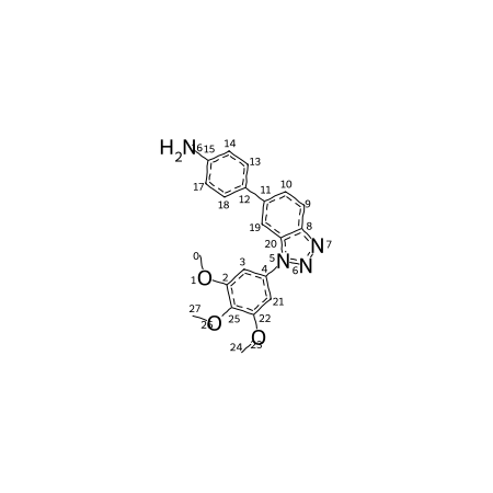 COc1cc(-n2nnc3ccc(-c4ccc(N)cc4)cc32)cc(OC)c1OC